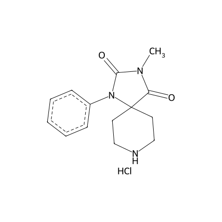 CN1C(=O)N(c2ccccc2)C2(CCNCC2)C1=O.Cl